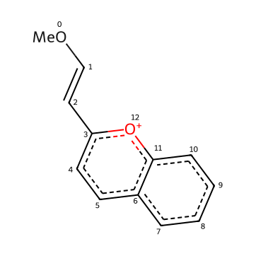 COC=Cc1ccc2ccccc2[o+]1